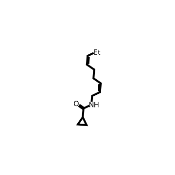 CC/C=C\CC/C=C\CNC(=O)C1CC1